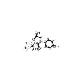 CC(C)(C)OC(=O)N(CC(=O)O)c1ccc(F)cc1